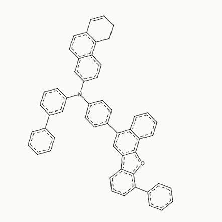 C1=Cc2ccc3cc(N(c4ccc(-c5cc6c7cccc(-c8ccccc8)c7oc6c6ccccc56)cc4)c4cccc(-c5ccccc5)c4)ccc3c2CC1